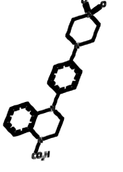 O=C(O)N1CCN(c2ccc(N3CCS(=O)(=O)CC3)cc2)c2ccccc21